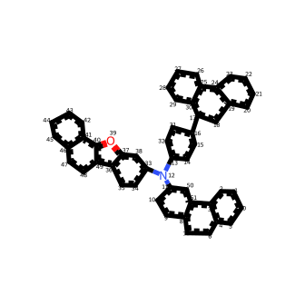 c1ccc2c(c1)ccc1ccc(N(c3ccc(-c4cc5ccccc5c5ccccc45)cc3)c3ccc4c(c3)oc3c5ccccc5ccc43)cc12